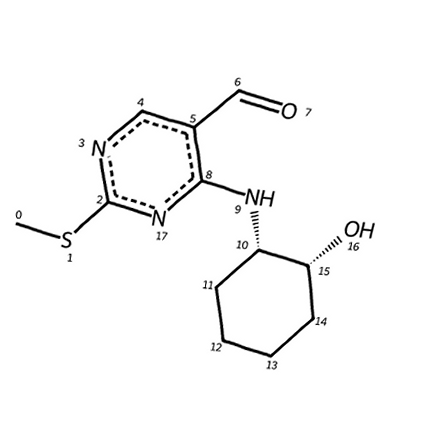 CSc1ncc(C=O)c(N[C@H]2CCCC[C@H]2O)n1